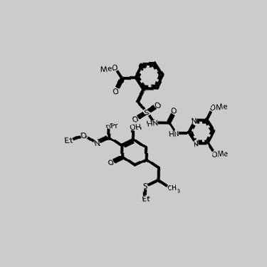 CCCC(=NOCC)C1=C(O)CC(CC(C)SCC)CC1=O.COC(=O)c1ccccc1CS(=O)(=O)NC(=O)Nc1nc(OC)cc(OC)n1